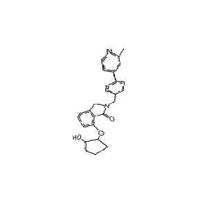 Cc1cc(-c2ccc(CN3Cc4cccc(OC5CCCC5O)c4C3=O)cc2)ccn1